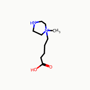 C[N+]1(CCCCC(=O)O)CCNCC1